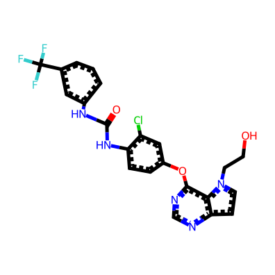 O=C(Nc1cccc(C(F)(F)F)c1)Nc1ccc(Oc2ncnc3ccn(CCO)c23)cc1Cl